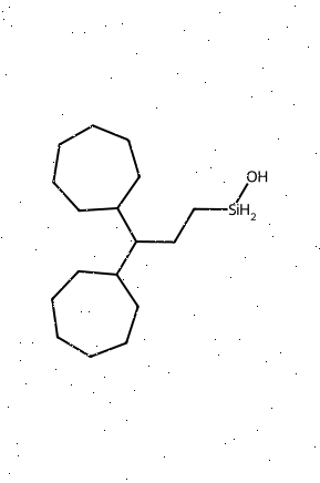 O[SiH2]CCC(C1CCCCCC1)C1CCCCCC1